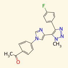 CC(=O)c1ccc(-n2cnc(-c3c(-c4ccc(F)cc4)nnn3C)c2)cc1